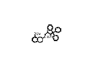 CCCN(C(C)CNC1CCc2cccc(OC)c2C1)C(c1ccccc1)(c1ccccc1)c1ccccc1